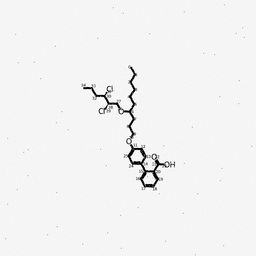 CCCCCCC(CCCOc1ccc(-c2ccccc2C(=O)O)cc1)OC[C@@H](Cl)[C@H](Cl)CCC